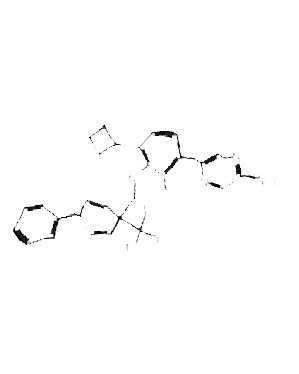 Nc1cnc(-c2ccc(C3CCC3)c(OCC3(C(F)(F)F)C=CC(c4ccccc4)C=C3)c2F)cn1